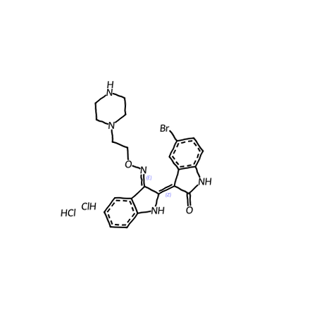 Cl.Cl.O=C1Nc2ccc(Br)cc2/C1=C1/Nc2ccccc2/C1=N\OCCN1CCNCC1